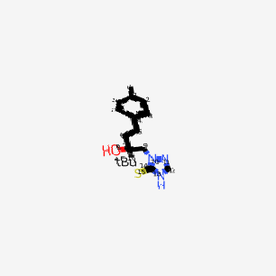 Cc1ccc(CCC(O)(Cn2nc[nH]c2=S)C(C)(C)C)cc1